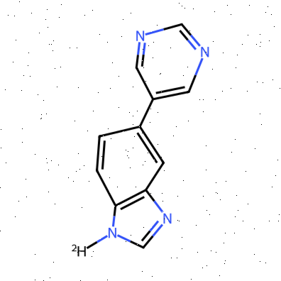 [2H]n1cnc2cc(-c3cncnc3)ccc21